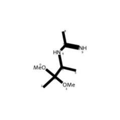 COC(C)(OC)C(C)NC(C)=N